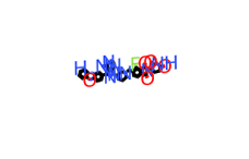 Nc1ncnc2c1c(-c1ccc(Oc3ccccc3)cc1)nn2[C@@H]1CCCN(Cc2ccc3c(c2F)C(=O)N(C2CCC(=O)NC2=O)C3=O)C1